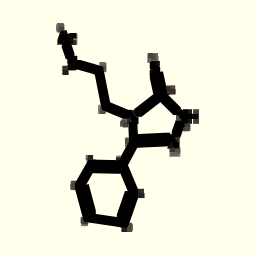 CC(=O)SCCn1c(-c2ccccc2)n[nH]c1=S